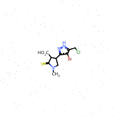 CN1CC(c2n[nH]c(CCl)c2Br)C(C(=O)O)C1=S